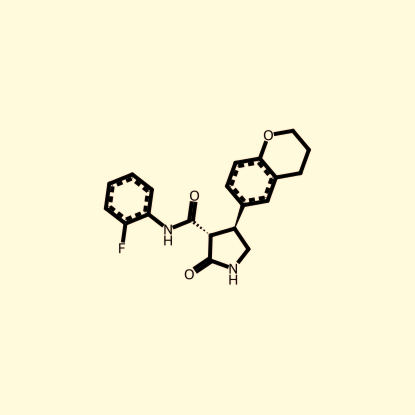 O=C1NC[C@H](c2ccc3c(c2)CCCO3)[C@H]1C(=O)Nc1ccccc1F